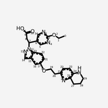 CCOc1ncc(C(CC(=O)O)n2ncc3cc(OCCc4ccc5c(n4)CCCN5)ccc32)cn1